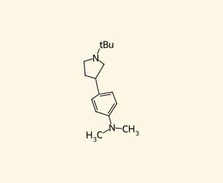 CN(C)c1ccc(C2CCN(C(C)(C)C)C2)cc1